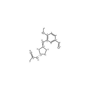 COc1ccc(C=O)cc1O[C@H]1CC[C@H](OC(C)=O)C1